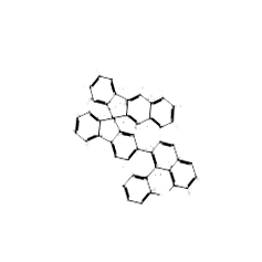 c1ccc2c(c1)Sc1cccc3ccc(-c4ccc5c(c4)C4(c6ccccc6-5)c5ccccc5-c5cc6ccccc6cc54)c-2c13